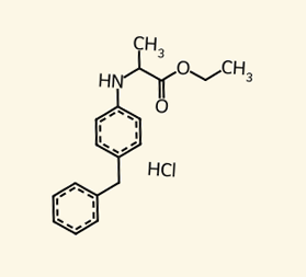 CCOC(=O)C(C)Nc1ccc(Cc2ccccc2)cc1.Cl